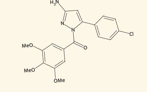 COc1cc(C(=O)n2nc(N)cc2-c2ccc(Cl)cc2)cc(OC)c1OC